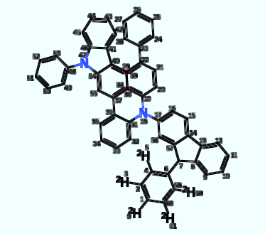 [2H]c1c([2H])c([2H])c(C2c3ccccc3-c3ccc(N(c4ccc(-c5ccccc5)cc4)c4ccccc4-c4ccc5c6ccccc6n(-c6ccccc6)c5c4)cc32)c([2H])c1[2H]